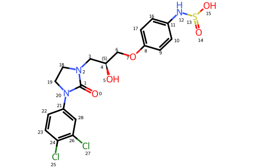 O=C1N(C[C@H](O)COc2ccc(NS(=O)O)cc2)CCN1c1ccc(Cl)c(Cl)c1